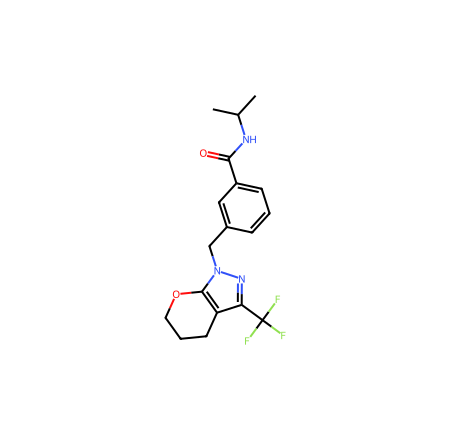 CC(C)NC(=O)c1cccc(Cn2nc(C(F)(F)F)c3c2OCCC3)c1